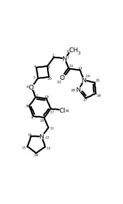 CN(CC1CC(Oc2ccc(CN3CCCC3)c(Cl)c2)C1)C(=O)Cn1cccn1